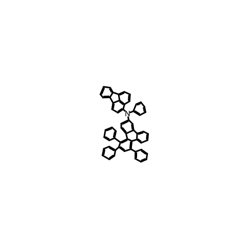 c1ccc(-c2cc(-c3ccccc3)c3c4ccccc4c4cc(N(c5ccccc5)c5ccc6c7c(cccc57)-c5ccccc5-6)ccc4c3c2-c2ccccc2)cc1